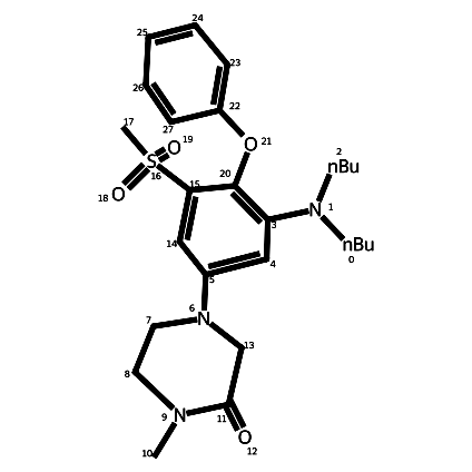 CCCCN(CCCC)c1cc(N2CCN(C)C(=O)C2)cc(S(C)(=O)=O)c1Oc1ccccc1